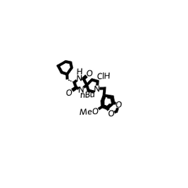 CCCCN1C(=O)[C@H](CC2CCCCC2)NC(=O)C12CCN(Cc1cc(OC)c3c(c1)OCO3)CC2.Cl